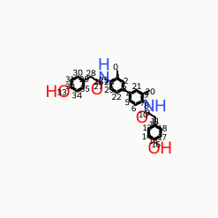 Cc1cc(-c2ccc(NC(=O)Cc3ccc(O)cc3)c(C)c2)ccc1NC(=O)Cc1ccc(O)cc1